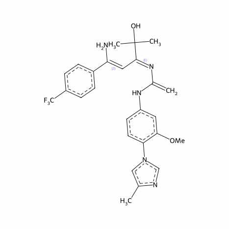 C=C(/N=C(\C=C(/N)c1ccc(C(F)(F)F)cc1)C(C)(C)O)Nc1ccc(-n2cnc(C)c2)c(OC)c1